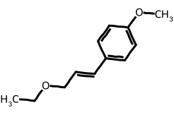 CCOC/C=C/c1ccc(OC)cc1